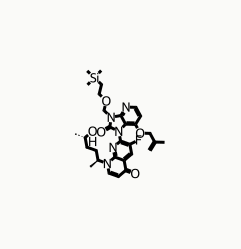 C=C(C)COc1ccnc2c1n(-c1nc3c(cc1F)c(=O)ccn3[C@@H](C)CC[C@H](C)O)c(=O)n2COCC[Si](C)(C)C